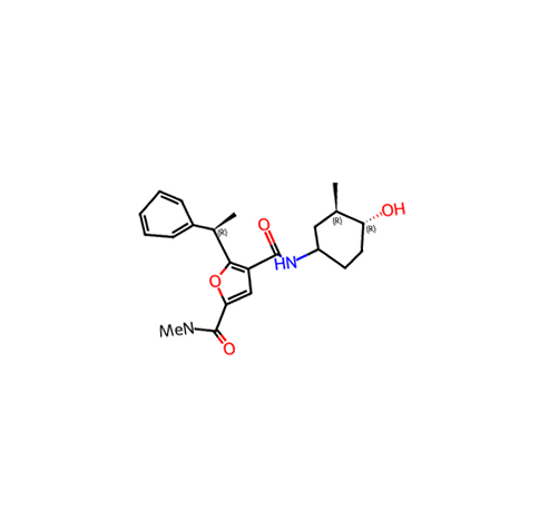 CNC(=O)c1cc(C(=O)NC2CC[C@@H](O)[C@H](C)C2)c([C@H](C)c2ccccc2)o1